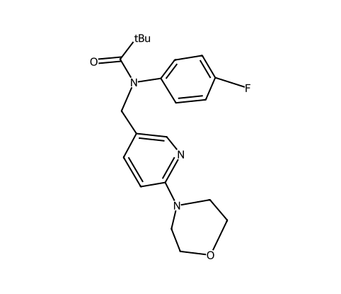 CC(C)(C)C(=O)N(Cc1ccc(N2CCOCC2)nc1)c1ccc(F)cc1